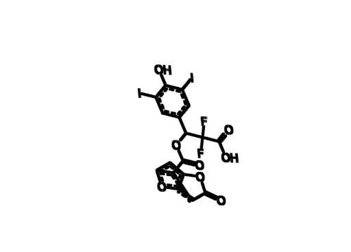 O=C(OC(c1cc(I)c(O)c(I)c1)C(F)(F)C(=O)O)c1c2c3oc1cc3OC2=O